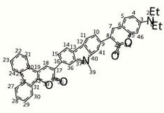 CCN(CC)c1ccc2cc(-c3ccc4c5ccc(-c6cc7c8ccccc8c8ccccc8c7oc6=O)cc5n(C)c4c3)c(=O)oc2c1